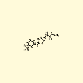 C=CC(=O)NC1C2CN(Cc3cccc(C(F)(F)F)c3)CC21